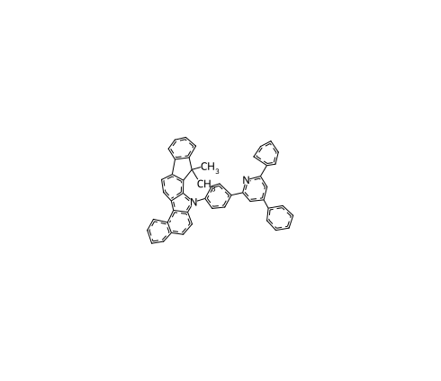 CC1(C)c2ccccc2-c2ccc3c4c5ccccc5ccc4n(-c4ccc(-c5cc(-c6ccccc6)cc(-c6ccccc6)n5)cc4)c3c21